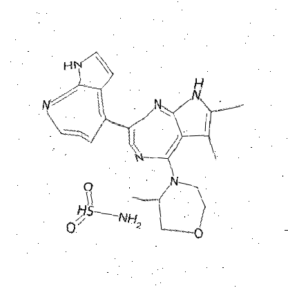 Cc1[nH]c2nc(-c3ccnc4[nH]ccc34)nc(N3CCOCC3C)c2c1C.N[SH](=O)=O